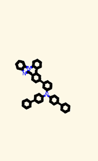 c1ccc(-c2ccc(N(c3ccc(-c4ccccc4)cc3)c3cccc(-c4ccc5c(c4)c4ccccc4n4c6ccccc6nc54)c3)cc2)cc1